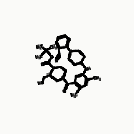 Cc1cc(C)c(C(=O)N2CCN(C(=O)OC(C)(C)C)[C@H](CO)C2)cc1NC1CCN(c2ccccc2C#N)CC1